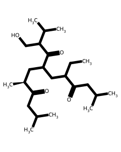 CCC(CC(C[C@H](C)C(=O)CC(C)C)C(=O)C(CO)C(C)C)C(=O)CC(C)C